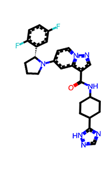 O=C(NC1CCC(c2ncn[nH]2)CC1)c1cnn2ccc(N3CCC[C@@H]3c3cc(F)ccc3F)cc12